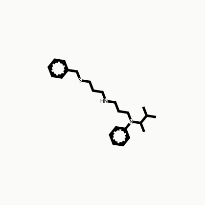 CC(C)C(C)N(CCCNCCCSCc1ccccc1)c1ccccc1